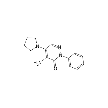 Nc1c(N2CCCC2)cnn(-c2ccccc2)c1=O